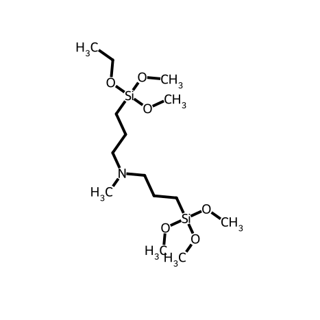 CCO[Si](CCCN(C)CCC[Si](OC)(OC)OC)(OC)OC